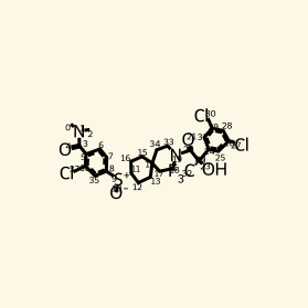 CN(C)C(=O)c1ccc([S+]([O-])C2CCC3(CC2)CCN(C(=O)[C@](O)(c2cc(Cl)cc(Cl)c2)C(F)(F)F)CC3)cc1Cl